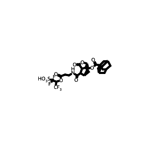 O=C(CCNC(=O)C1C2CC3C(OC(=O)C31)C2OC(=O)C12CC3CC(CC(C3)C1)C2)OC(C(F)(F)F)C(F)(F)S(=O)(=O)O